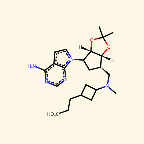 CN(C[C@H]1CC(n2ccc3c(N)ncnc32)[C@@H]2OC(C)(C)O[C@H]12)C1CC(CCC(=O)O)C1